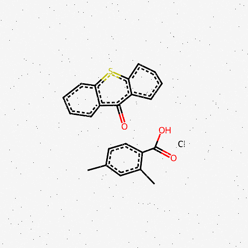 Cc1ccc(C(=O)O)c(C)c1.O=c1c2ccccc2sc2ccccc12.[C]